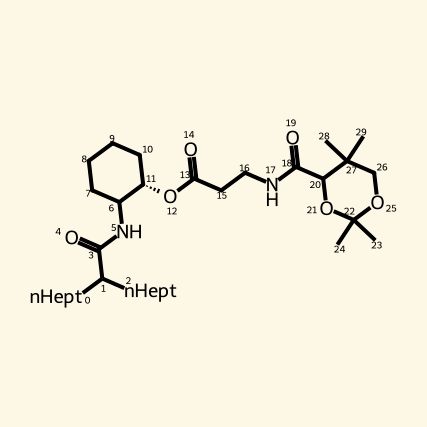 CCCCCCCC(CCCCCCC)C(=O)NC1CCCC[C@@H]1OC(=O)CCNC(=O)C1OC(C)(C)OCC1(C)C